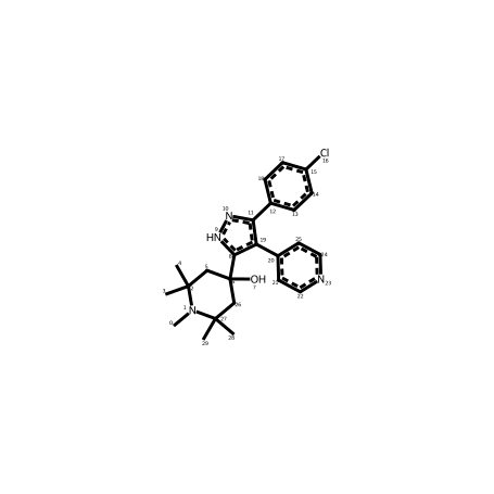 CN1C(C)(C)CC(O)(c2[nH]nc(-c3ccc(Cl)cc3)c2-c2ccncc2)CC1(C)C